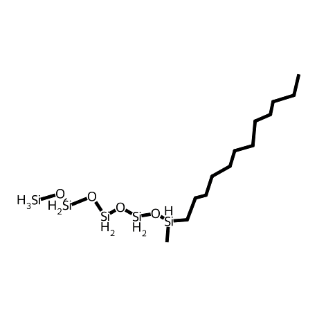 CCCCCCCCCCCC[SiH](C)O[SiH2]O[SiH2]O[SiH2]O[SiH3]